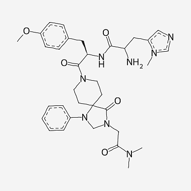 COc1ccc(C[C@@H](NC(=O)C(N)Cc2cncn2C)C(=O)N2CCC3(CC2)C(=O)N(CC(=O)N(C)C)CN3c2ccccc2)cc1